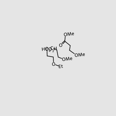 CCOCCC(=O)O.COCCC(=O)O.COCCC(=O)OC